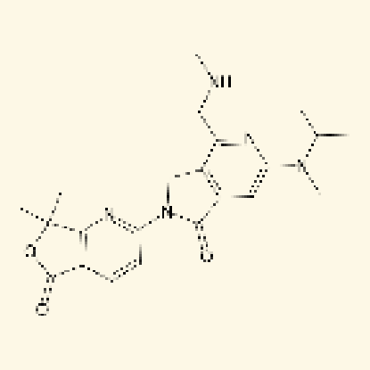 CNCc1nc(N(C)C(C)C)cc2c1CN(c1ccc3c(n1)C(C)(C)OC3=O)C2=O